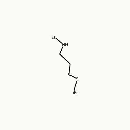 CCNCCSSC(C)C